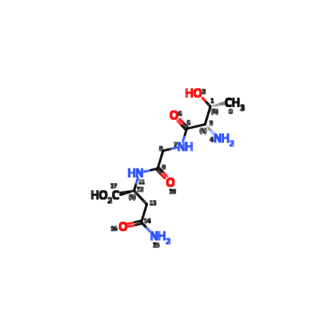 C[C@@H](O)[C@H](N)C(=O)NCC(=O)N[C@@H](CC(N)=O)C(=O)O